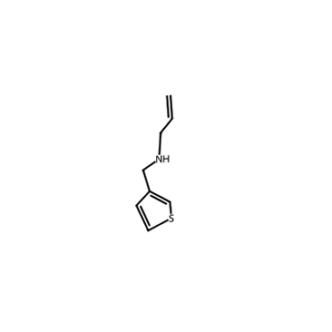 C=CCNCc1ccsc1